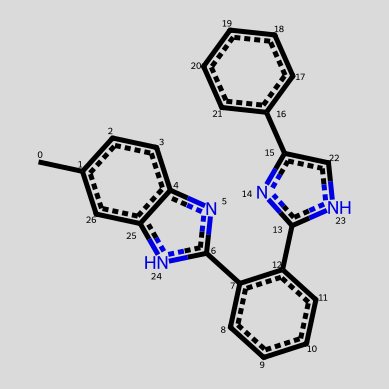 Cc1ccc2nc(-c3ccccc3-c3nc(-c4ccccc4)c[nH]3)[nH]c2c1